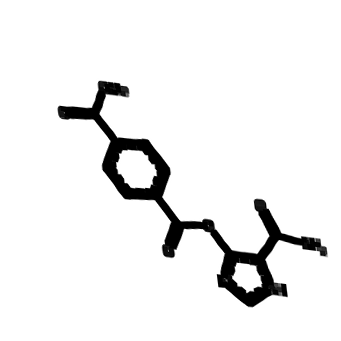 COC(=O)c1ccc(C(=O)Oc2nc[nH]c2C(N)=O)cc1